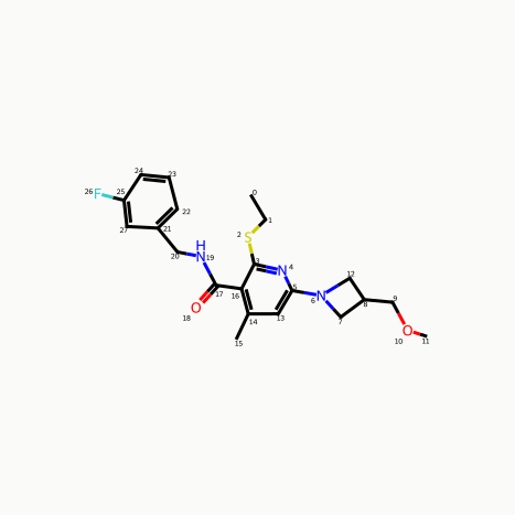 CCSc1nc(N2CC(COC)C2)cc(C)c1C(=O)NCc1cccc(F)c1